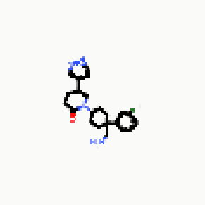 NC[C@]1(c2cccc(Cl)c2)CC[C@H](N2CC(c3ccnnc3)CCC2=O)CC1